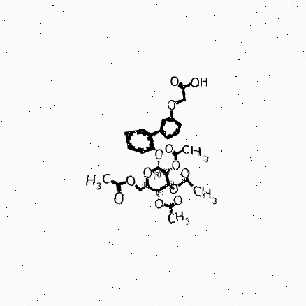 CC(=O)OC[C@H]1O[C@H](Oc2ccccc2-c2cccc(OCC(=O)O)c2)[C@@H](OC(C)=O)[C@@H](OC(C)=O)[C@@H]1OC(C)=O